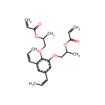 C=CC(=O)OC(C)COc1cc(/C=C\C)cc(/C=C\C)c1OCC(C)OC(=O)C=C